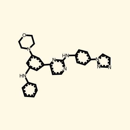 c1ccc(Nc2cc(-c3ccnc(Nc4ccc(-n5ccnn5)cc4)n3)cc(N3CCOCC3)c2)cc1